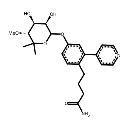 CO[C@@H]1[C@@H](O)[C@@H](O)C(Oc2ccc(CCCC(N)=O)c(-c3ccncc3)c2)OC1(C)C